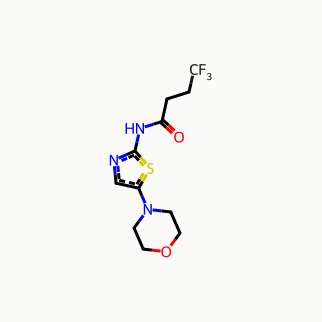 O=C(CCC(F)(F)F)Nc1ncc(N2CCOCC2)s1